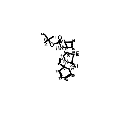 C=C[C@]1(N2C[C@H](C3(NC(=O)OC(C)(C)C)CCC3)[C@H](F)C2=O)C=CC=CC1